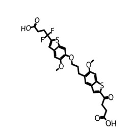 COc1cc2sc(C(=O)CCC(=O)O)cc2cc1CCCOc1cc2sc(C(F)(F)CCC(=O)O)cc2cc1OC